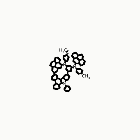 COc1ccc(N(C2=C3C=CC=C4C=CC5=CC=CC(=C2)C5C43)c2cc(-c3ccc4c(c3)c3c5ccccc5c5ccccc5c3n4-c3ccccc3)cc(N(c3ccc(C)cc3)c3cc4cccc5ccc6cccc3c6c54)c2)cc1